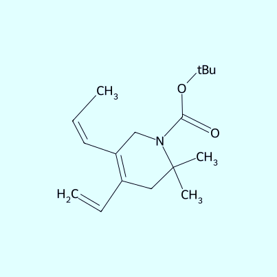 C=CC1=C(/C=C\C)CN(C(=O)OC(C)(C)C)C(C)(C)C1